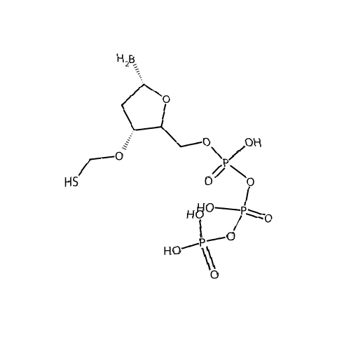 B[C@H]1C[C@@H](OCS)C(COP(=O)(O)OP(=O)(O)OP(=O)(O)O)O1